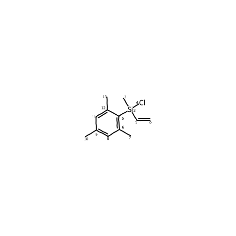 C=C[Si](C)(Cl)c1c(C)cc(C)cc1C